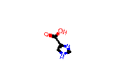 O=C(O)c1[c][nH]cn1